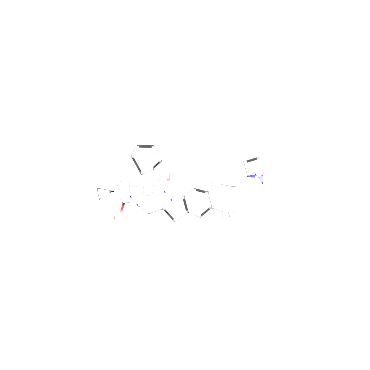 CC1(C(=O)NCc2cc3cc(Br)c(OCc4ccon4)cc3n2S(=O)(=O)c2ccccc2)CC1